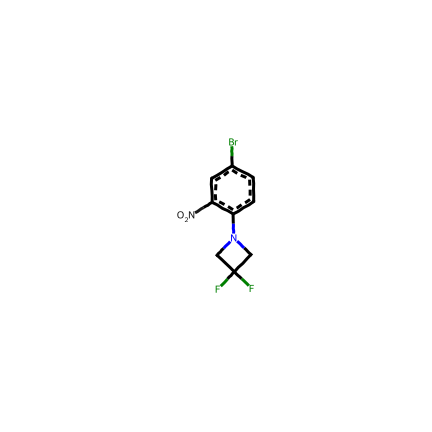 O=[N+]([O-])c1cc(Br)ccc1N1CC(F)(F)C1